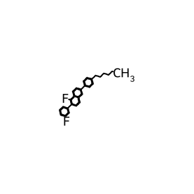 CCCCCCc1ccc(-c2ccc3c(F)c(-c4cccc(F)c4)ccc3c2)cc1